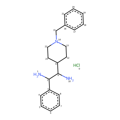 Cl.NC(c1ccccc1)C(N)C1CCN(Cc2ccccc2)CC1